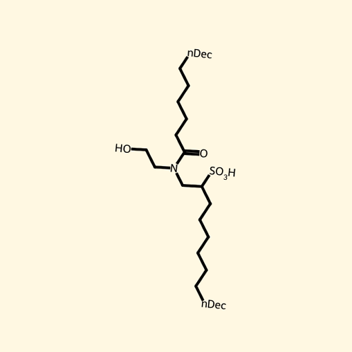 CCCCCCCCCCCCCCCCC(CN(CCO)C(=O)CCCCCCCCCCCCCCC)S(=O)(=O)O